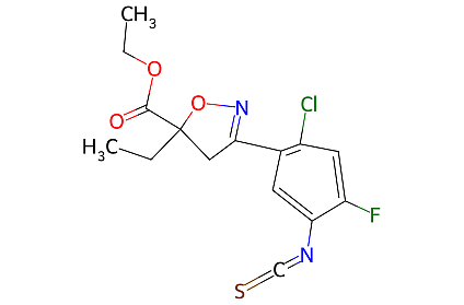 CCOC(=O)C1(CC)CC(c2cc(N=C=S)c(F)cc2Cl)=NO1